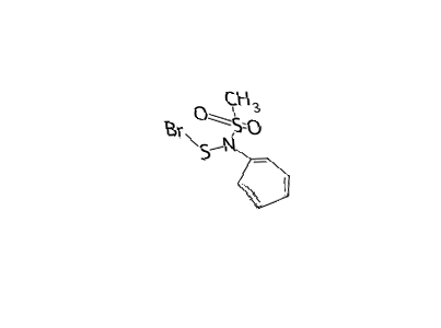 CS(=O)(=O)N(SBr)c1ccccc1